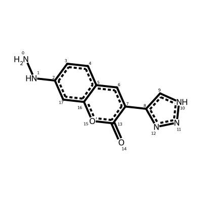 NNc1ccc2cc(-c3c[nH]nn3)c(=O)oc2c1